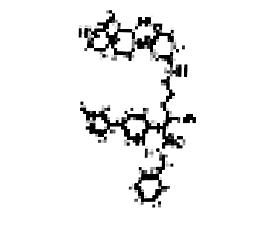 CCC/C(CCCNc1ncc(C#N)c(N2CCC3(CCNC3=O)CC2)n1)=[N+](\C(=O)NCc1ccccc1)c1ccc(-c2cnn(C)c2)cn1